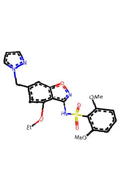 CCOc1cc(Cn2cccn2)cc2onc(NS(=O)(=O)c3c(OC)cccc3OC)c12